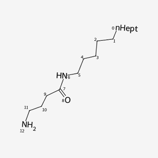 CCCCCCCCCCCCNC(=O)CCCN